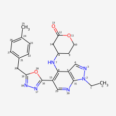 CCn1ncc2c(NC3CCOC(=O)C3)c(-c3nnc(Cc4ccc(C)cc4)o3)cnc21